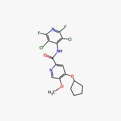 COc1cnc(C(=O)Nc2c(Cl)c(F)nc(F)c2Cl)cc1OC1CCCC1